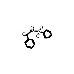 O=C(c1ccccc1)C1ON1S(=O)(=O)c1ccccc1